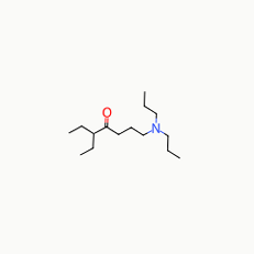 CCCN(CCC)CCCC(=O)C(CC)CC